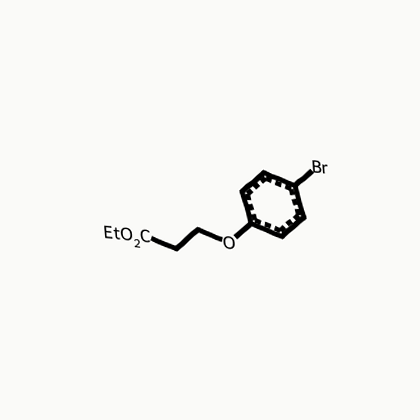 CCOC(=O)CCOc1ccc(Br)cc1